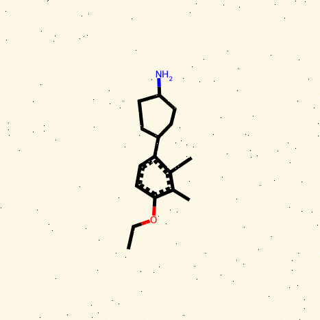 CCOc1ccc(C2CCC(N)CC2)c(C)c1C